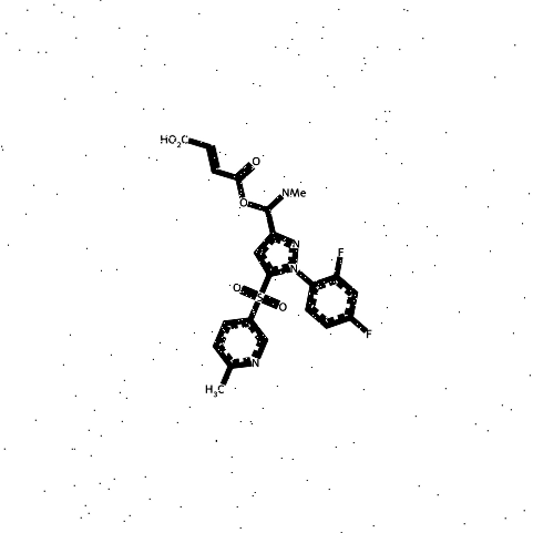 CNC(OC(=O)/C=C/C(=O)O)c1cc(S(=O)(=O)c2ccc(C)nc2)n(-c2ccc(F)cc2F)n1